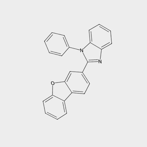 c1ccc(-n2c(-c3ccc4c(c3)oc3ccccc34)nc3ccccc32)cc1